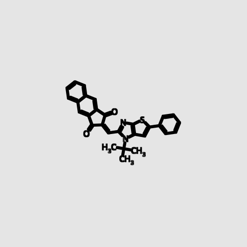 CC(C)(C)n1c(C=C2C(=O)c3cc4ccccc4cc3C2=O)nc2sc(-c3ccccc3)cc21